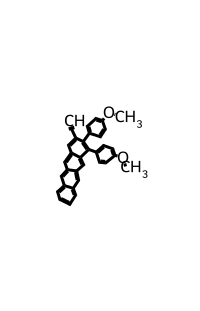 C#Cc1cc2cc3cc4ccccc4cc3cc2c(-c2ccc(OC)cc2)c1-c1ccc(OC)cc1